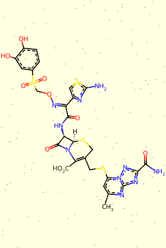 Cc1cc(SCC2=C(C(=O)O)N3C(=O)[C@@H](NC(=O)C(=NOCS(=O)(=O)c4ccc(O)c(O)c4)c4csc(N)n4)[C@H]3SC2)n2nc(C(N)=O)nc2n1